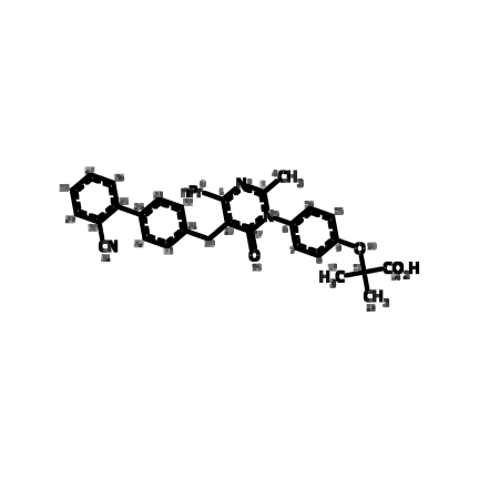 CCCc1nc(C)n(-c2ccc(OC(C)(C)C(=O)O)cc2)c(=O)c1Cc1ccc(-c2ccccc2C#N)cc1